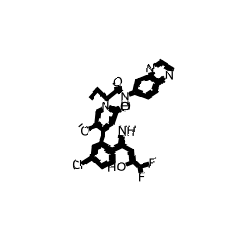 CCC(C(=O)Nc1ccc2nccnc2c1)n1cc(OC)c(-c2cc(Cl)ccc2C(=N)/C=C(\O)C(F)F)cc1=O